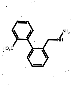 NNCc1ccccc1-c1ccccc1C(=O)O